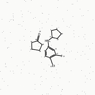 CCc1ccc(NC2CCCC2)cc1F.O=C1CCCC1